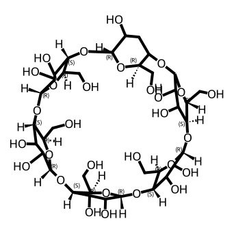 OC[C@H]1O[C@@H]2O[C@H]3C(O)C(O)[C@H](O[C@@H]3CO)O[C@H]3C(O)C(O)[C@H](O[C@@H]3CO)O[C@H]3C(O)C(O)[C@H](O[C@@H]3CO)O[C@H]3C(O)C(O)[C@H](O[C@@H]3CO)O[C@H]3C(O)C(O)C(OC1CC2O)O[C@@H]3CO